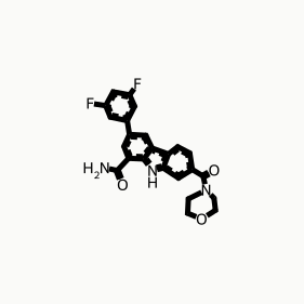 NC(=O)c1cc(-c2cc(F)cc(F)c2)cc2c1[nH]c1cc(C(=O)N3CCOCC3)ccc12